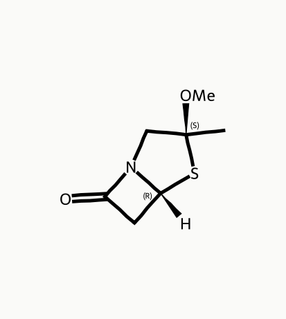 CO[C@]1(C)CN2C(=O)C[C@H]2S1